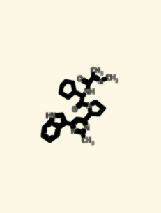 CN=C(C)C(=O)NC(C(=O)N1CCCC1c1cc(-c2c[nH]c3ccccc23)nc(C)n1)C1CCCCC1